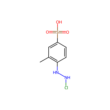 Cc1cc(S(=O)(=O)O)ccc1NNCl